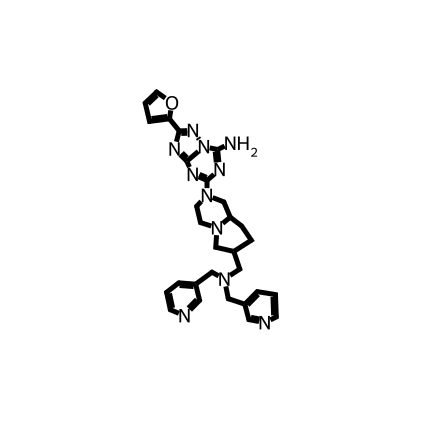 Nc1nc(N2CCN3CC(CN(Cc4cccnc4)Cc4cccnc4)CCC3C2)nc2nc(-c3ccco3)nn12